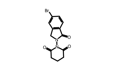 O=C1c2ccc(Br)cc2CN1N1C(=O)CCCC1=O